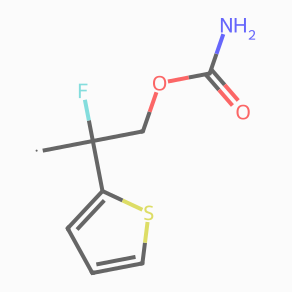 [CH2]C(F)(COC(N)=O)c1cccs1